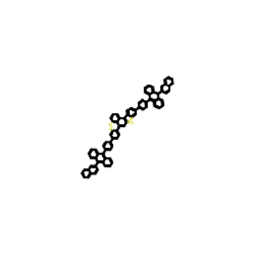 C1=CC2=C(c3ccc(-c4ccc5c(c4)sc4cc6c7c(cccc7c45)Sc4cc(-c5ccc(-c7c8ccccc8c(-c8ccc9ccccc9c8)c8ccccc78)cc5)ccc4-6)cc3)c3ccccc3C(c3ccc4ccccc4c3)C2C=C1